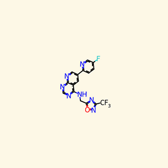 Fc1ccc(-c2cnc3ncnc(NCc4nc(C(F)(F)F)no4)c3c2)nc1